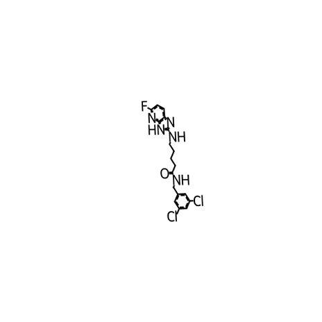 O=C(CCCCNc1nc2ccc(F)nc2[nH]1)NCc1cc(Cl)cc(Cl)c1